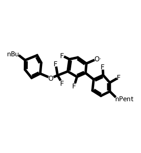 CCCCCc1ccc(-c2c([O])cc(F)c(C(F)(F)Oc3ccc(CCCC)cc3)c2F)c(F)c1F